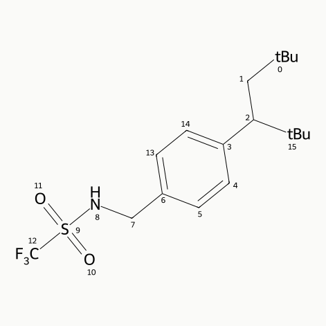 CC(C)(C)CC(c1ccc(CNS(=O)(=O)C(F)(F)F)cc1)C(C)(C)C